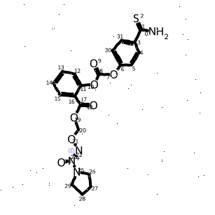 NC(=S)c1ccc(OC(=O)Oc2ccccc2C(=O)OCO/N=[N+](\[O-])N2CCCC2)cc1